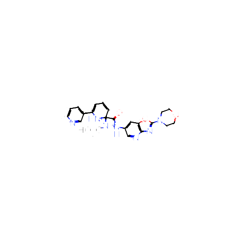 O=C(O)NC1(C(=O)Nc2cnc3nc(N4CCOCC4)oc3c2)C=CC=C(c2cccnc2)N1